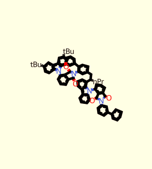 CCCC(Cc1ccc(-c2ccccc2)c(N2C(=O)c3cccc(-n4c5ccc(C(C)(C)C)cc5c5cc(C(C)(C)C)ccc54)c3C2=O)c1)c1cccc2c3ccccc3n(-c3cccc4c3C(=O)N(c3cccc(-c5ccccc5)c3)C4=O)c12